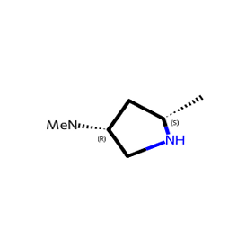 CN[C@H]1CN[C@@H](C)C1